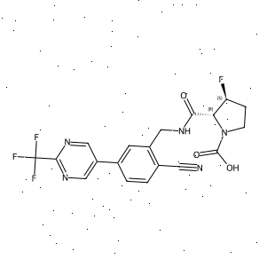 N#Cc1ccc(-c2cnc(C(F)(F)F)nc2)cc1CNC(=O)[C@@H]1[C@@H](F)CCN1C(=O)O